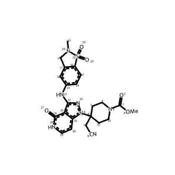 COC(=O)N1CCC(CC#N)(n2nc(Nc3ccc4c(c3)CN(C)S4(=O)=O)c3c(=O)[nH]ccc32)CC1